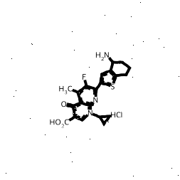 Cc1c(F)c(-c2cc3c(s2)CCCC3N)nc2c1c(=O)c(C(=O)O)cn2C1CC1.Cl